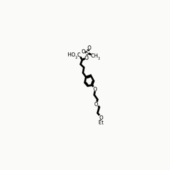 CCOCCOCCOc1ccc(CCCC(OS(C)(=O)=O)C(=O)O)cc1